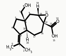 CC(C)=C1CC[C@]2(CO)C[C@@H]3O[C@]3(C(=O)O)CC[C@@H]12